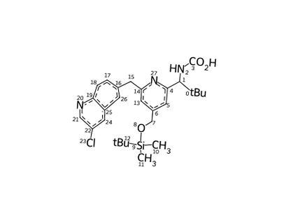 CC(C)(C)C(NC(=O)O)c1cc(CO[Si](C)(C)C(C)(C)C)cc(Cc2ccc3ncc(Cl)cc3c2)n1